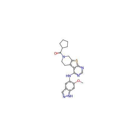 COc1cc2[nH]ncc2cc1Nc1ncnc2sc3c(c12)CCN(C(=O)C1CCCC1)C3